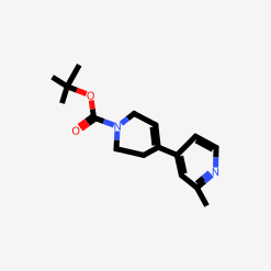 Cc1cc(C2=CCN(C(=O)OC(C)(C)C)CC2)ccn1